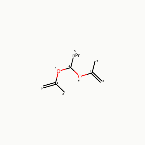 C=C(C)OC(CCC)OC(=C)C